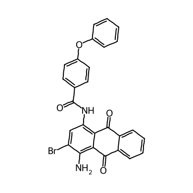 Nc1c(Br)cc(NC(=O)c2ccc(Oc3ccccc3)cc2)c2c1C(=O)c1ccccc1C2=O